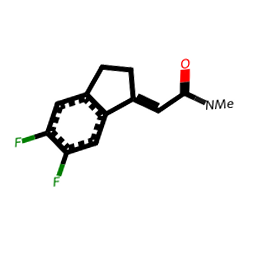 CNC(=O)C=C1CCc2cc(F)c(F)cc21